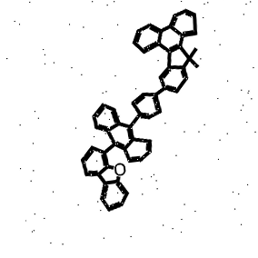 CC1(C)c2ccc(-c3ccc(-c4c5ccccc5c(-c5cccc6c5oc5ccccc56)c5ccccc45)cc3)cc2-c2c1c1ccccc1c1ccccc21